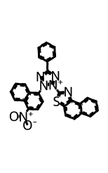 O=[N+]([O-])c1ccc(-n2nc(-c3ccccc3)n[n+]2-c2nc3c(ccc4ccccc43)s2)c2ccccc12